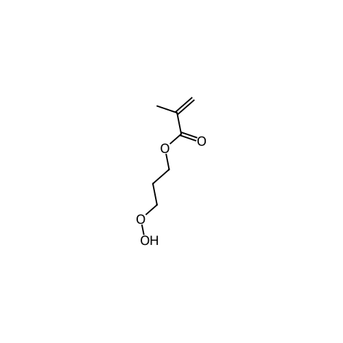 C=C(C)C(=O)OCCCOO